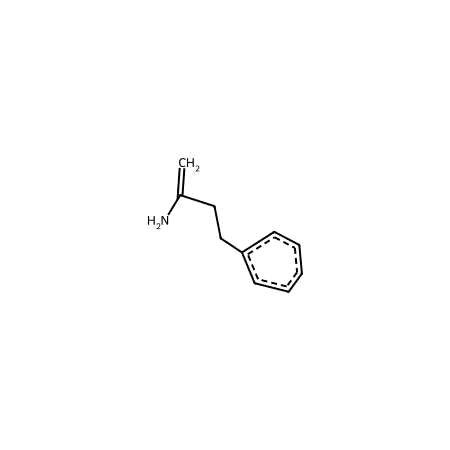 C=C(N)CCc1ccccc1